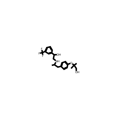 CC(Cc1ccc(OC(C)(C)CO)cc1)NCC(O)c1cccc(C(F)(F)F)c1